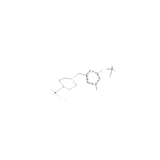 CC(C)(C)C1CCN(Cc2cc(Cl)cc(OC(F)(F)F)c2)CC1